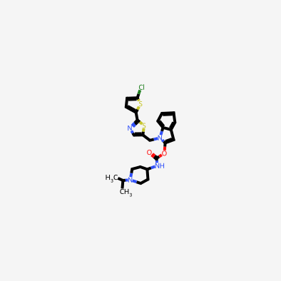 CC(C)N1CCC(NC(=O)Oc2cc3ccccc3n2Cc2cnc(-c3ccc(Cl)s3)s2)CC1